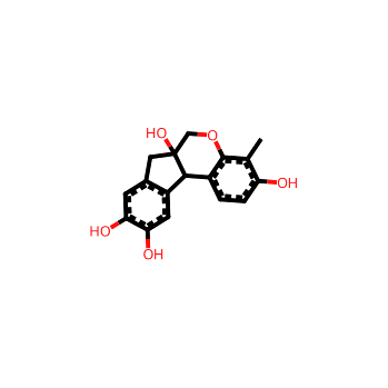 Cc1c(O)ccc2c1OCC1(O)Cc3cc(O)c(O)cc3C21